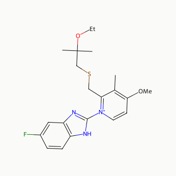 CCOC(C)(C)CSCc1c(C)c(OC)cc[n+]1-c1nc2cc(F)ccc2[nH]1